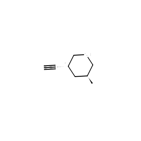 C#C[C@@H]1CNC[C@@H](CC)C1